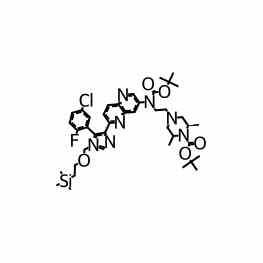 CC1CN(CCN(C(=O)OC(C)(C)C)c2cnc3ccc(-c4ncn(COCC[Si](C)(C)C)c4-c4cc(Cl)ccc4F)nc3c2)C[C@@H](C)N1C(=O)OC(C)(C)C